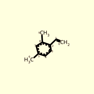 C=[C]c1ccc(C)cc1C